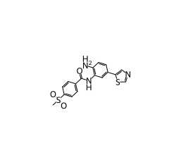 CS(=O)(=O)c1ccc(C(=O)Nc2cc(-c3cncs3)ccc2N)cc1